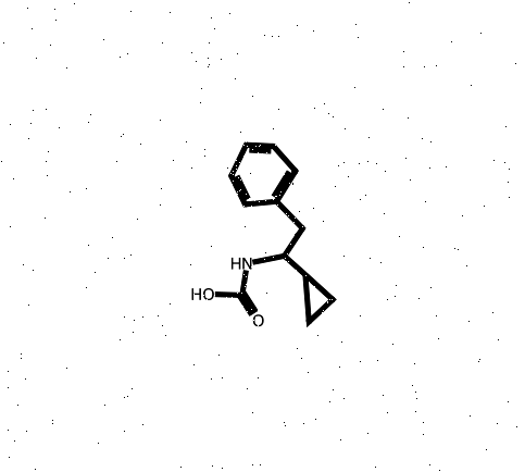 O=C(O)NC(Cc1ccccc1)C1CC1